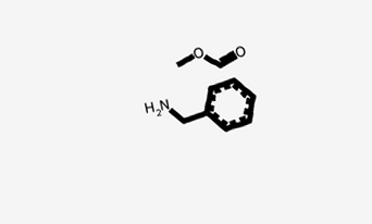 COC=O.NCc1ccccc1